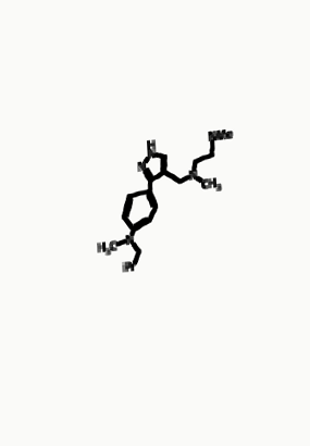 CNCCN(C)Cc1c[nH]nc1-c1ccc(N(C)CC(C)C)cc1